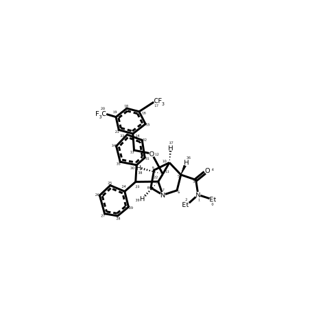 CCN(CC)C(=O)[C@@H]1CN2CC[C@@H]1[C@H](OCc1cc(C(F)(F)F)cc(C(F)(F)F)c1)[C@@H]2C(c1ccccc1)c1ccccc1